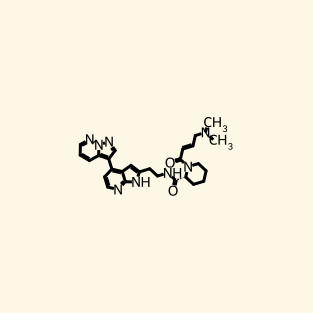 CN(C)C/C=C/C(=O)N1CCCC[C@@H]1C(=O)NCCc1cc2c(-c3cnn4ncccc34)ccnc2[nH]1